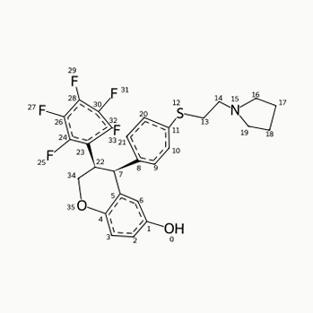 Oc1ccc2c(c1)[C@H](c1ccc(SCCN3CCCC3)cc1)[C@H](c1c(F)c(F)c(F)c(F)c1F)CO2